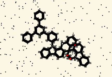 c1ccc(-c2cc(-c3ccccc3)nc(-c3cccc(-n4c5ccccc5c5ccc6c(c54)Oc4ccccc4C64c5ccccc5-n5c6ccccc6c6cccc4c65)c3)n2)cc1